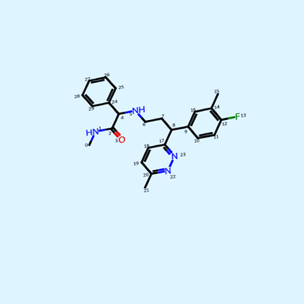 CNC(=O)C(NCCC(c1ccc(F)c(C)c1)c1ccc(C)nn1)c1ccccc1